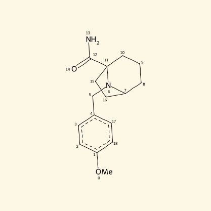 COc1ccc(CN2C3C[CH]CC2(C(N)=O)CC3)cc1